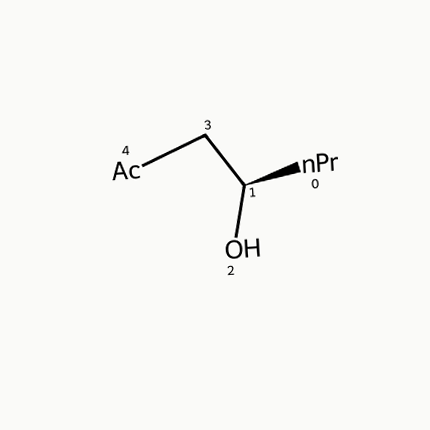 CCC[C@@H](O)CC(C)=O